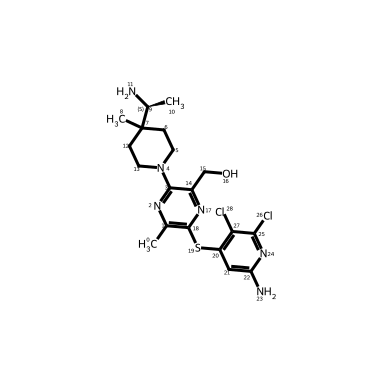 Cc1nc(N2CCC(C)([C@H](C)N)CC2)c(CO)nc1Sc1cc(N)nc(Cl)c1Cl